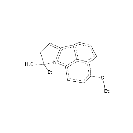 CCOc1ccc2c3c1cccc3c1n2C(C)(CC)CC=1